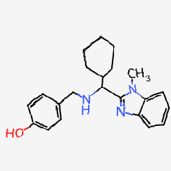 Cn1c(C(NCc2ccc(O)cc2)C2CCCCC2)nc2ccccc21